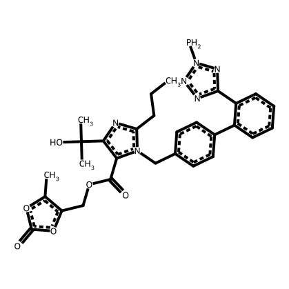 CCCc1nc(C(C)(C)O)c(C(=O)OCc2oc(=O)oc2C)n1Cc1ccc(-c2ccccc2-c2nnn(P)n2)cc1